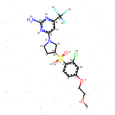 COCCOc1ccc(S(=O)(=O)[C@H]2CCN(c3cc(C(F)(F)F)nc(N)n3)C2)c(Cl)c1